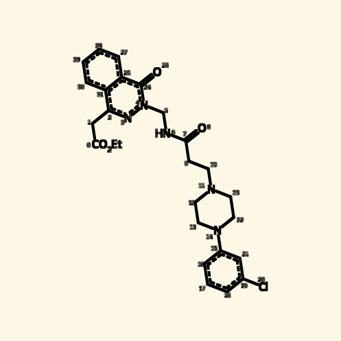 CCOC(=O)Cc1nn(CNC(=O)CCN2CCN(c3cccc(Cl)c3)CC2)c(=O)c2ccccc12